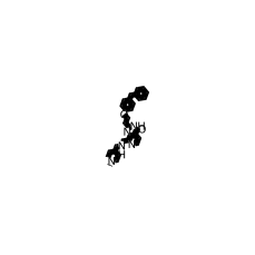 CN1CCC(CNCc2nccc3c(=O)[nH]c(CCOc4ccc(Cc5ccccc5)cc4)nc23)CC1